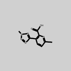 Cc1ccc(-c2nnn(C)n2)c(C(=O)O)n1